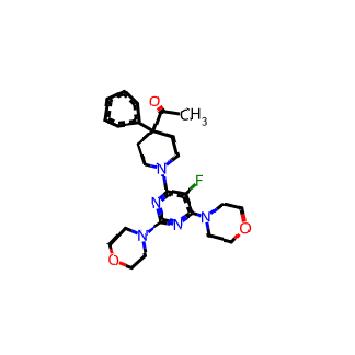 CC(=O)C1(c2ccccc2)CCN(c2nc(N3CCOCC3)nc(N3CCOCC3)c2F)CC1